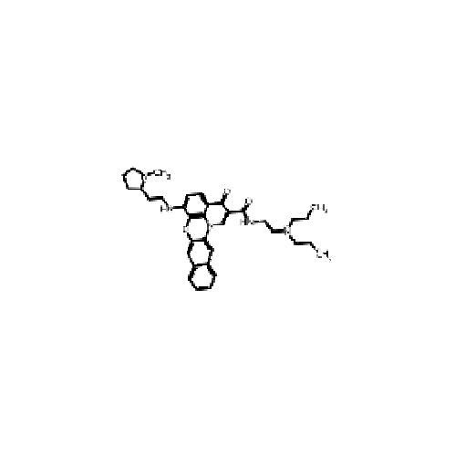 CCCN(CCC)CCNC(=O)c1cn2c3c(c(NCCC4CCCN4C)ccc3c1=O)Oc1cc3ccccc3cc1-2